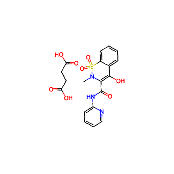 CN1C(C(=O)Nc2ccccn2)=C(O)c2ccccc2S1(=O)=O.O=C(O)CCC(=O)O